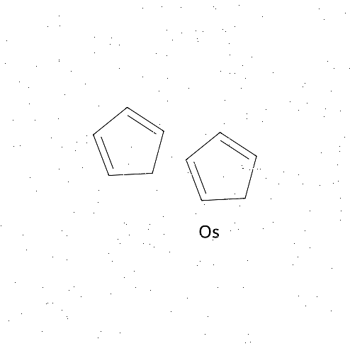 C1=CCC=C1.C1=CCC=C1.[Os]